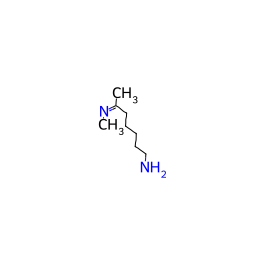 C/N=C(/C)CCCCCN